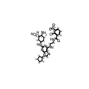 Cl.Cl.NC1CCC(Nc2nc(NCCNC(=O)c3cccc([N+](=O)[O-])c3Cl)c3ncn(C4CCCC4)c3n2)CC1